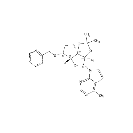 Cc1ncnc2c1ccn2[C@@H]1O[C@@H]2[C@H](OCc3ccccc3)CC[C@@]23OC(C)(C)O[C@@H]13